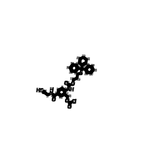 C#CCNC(=O)c1ccc(NC(=O)OCCCSC(C2=CCCC=C2)(c2ccccc2)c2ccccc2)c(COC(=O)Cl)c1